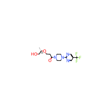 C[C@@H](CO)OCCC(=O)N1CCN(c2ncc(C(F)(F)F)cn2)CC1